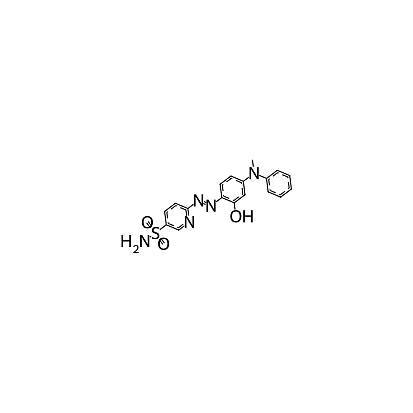 CN(c1ccccc1)c1ccc(N=Nc2ccc(S(N)(=O)=O)cn2)c(O)c1